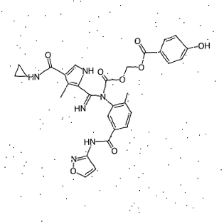 Cc1ccc(C(=O)Nc2ccon2)cc1N(C(=N)c1[nH]cc(C(=O)NC2CC2)c1C)C(=O)OCOC(=O)c1ccc(O)cc1